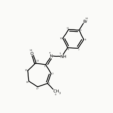 CC1=C/C(=N\Nc2ccc(Br)cc2)C(=O)CCC1